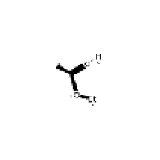 CCOC(C)=O.[H]